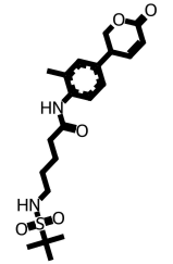 Cc1cc(C2C=CC(=O)OC2)ccc1NC(=O)CCCCNS(=O)(=O)C(C)(C)C